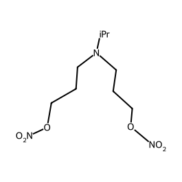 CC(C)N(CCCO[N+](=O)[O-])CCCO[N+](=O)[O-]